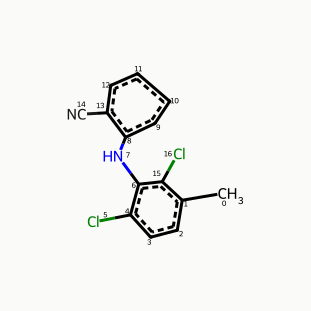 Cc1ccc(Cl)c(Nc2ccccc2C#N)c1Cl